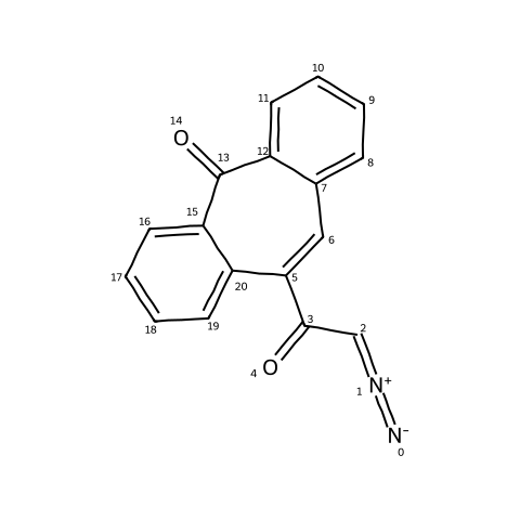 [N-]=[N+]=CC(=O)c1cc2ccccc2c(=O)c2ccccc12